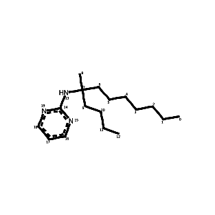 CCCCCCCC(C)(CCCC)Nc1ncccn1